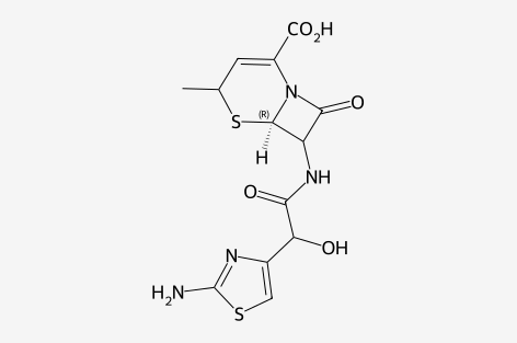 CC1C=C(C(=O)O)N2C(=O)C(NC(=O)C(O)c3csc(N)n3)[C@H]2S1